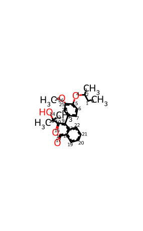 CCC(C)Oc1ccc(-c2c(C(C)(C)O)oc(=O)c3ccccc23)cc1OC